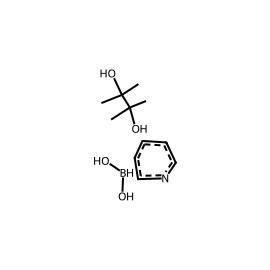 CC(C)(O)C(C)(C)O.OBO.c1ccncc1